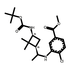 COC(=O)c1ccc(Cl)c(NC(C)[C@@H]2C[C@H](NC(=O)OC(C)(C)C)C2(C)C)c1